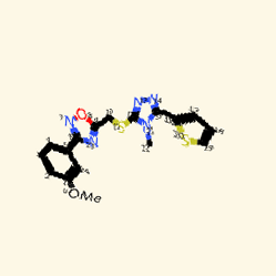 COc1cccc(-c2noc(CSc3nnc(-c4cccs4)n3C)n2)c1